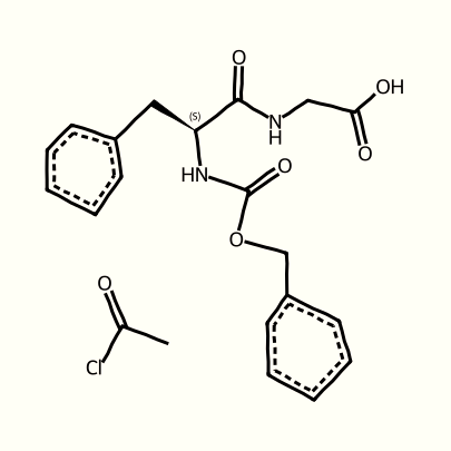 CC(=O)Cl.O=C(O)CNC(=O)[C@H](Cc1ccccc1)NC(=O)OCc1ccccc1